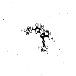 C[C@@]1(O)C(O)C(COP(=O)(O)O)OC1n1cc(C#CC(=O)NN)c2c(N)ncnc21